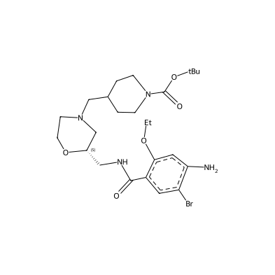 CCOc1cc(N)c(Br)cc1C(=O)NC[C@H]1CN(CC2CCN(C(=O)OC(C)(C)C)CC2)CCO1